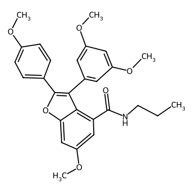 CCCNC(=O)c1cc(OC)cc2oc(-c3ccc(OC)cc3)c(-c3cc(OC)cc(OC)c3)c12